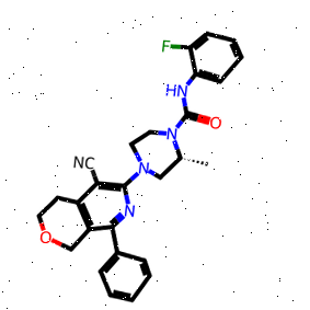 C[C@@H]1CN(c2nc(-c3ccccc3)c3c(c2C#N)CCOC3)CCN1C(=O)Nc1ccccc1F